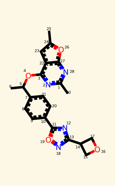 Cc1nc(OC(C)c2ccc(-c3nc(C4COC4)no3)cc2)c2cc(C)oc2n1